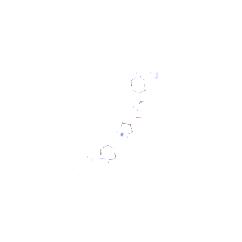 Cc1cc2c(c(N)n1)CC[C@H]2NC(=O)c1cn(Cc2ccc(N3CC4CC4C3)nc2C)nc1C